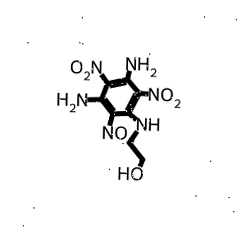 Nc1c([N+](=O)[O-])c(N)c([N+](=O)[O-])c(NCCO)c1[N+](=O)[O-]